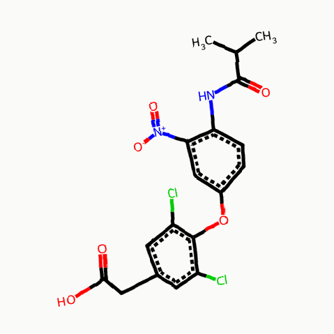 CC(C)C(=O)Nc1ccc(Oc2c(Cl)cc(CC(=O)O)cc2Cl)cc1[N+](=O)[O-]